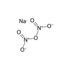 O=[N+]([O-])O[N+](=O)[O-].[Na]